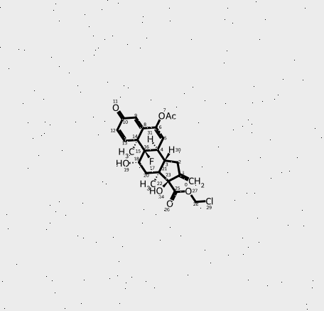 C=C1C[C@H]2[C@@H]3C=C(OC(C)=O)C4=CC(=O)C=C[C@]4(C)[C@@]3(F)[C@@H](O)C[C@]2(C)[C@@]1(O)C(=O)OCCl